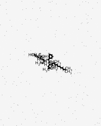 CC(C)CCCCCCC[C@@H](C)CN(C)[C@H](CN[C@H](CN[C@@H](CN)CN[C@@H](CNCCO)[C@H](C)O)C1CCCCC1)CC(C)C